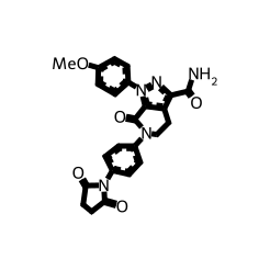 COc1ccc(-n2nc(C(N)=O)c3c2C(=O)N(c2ccc(N4C(=O)CCC4=O)cc2)CC3)cc1